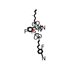 C=CC[CH]CCC(=O)O[C@@](Cn1cncn1)(c1ccc(F)cc1F)[C@@H](C)S[C@H]1CO[C@H](/C=C/C=C/c2ccc(C#N)cc2F)OC1